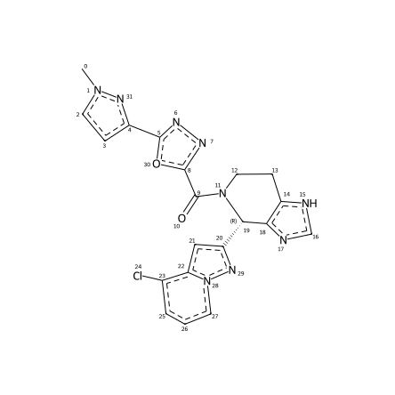 Cn1ccc(-c2nnc(C(=O)N3CCc4[nH]cnc4[C@@H]3c3cc4c(Cl)cccn4n3)o2)n1